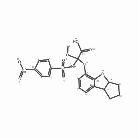 COC(NS(=O)(=O)c1ccc([N+](=O)[O-])cc1)(Oc1cccc2c1OC1CCCC21)C(=O)O